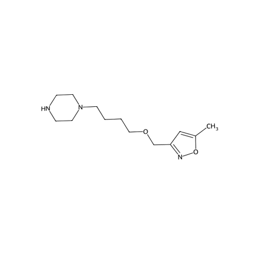 Cc1cc(COCCCCN2CCNCC2)no1